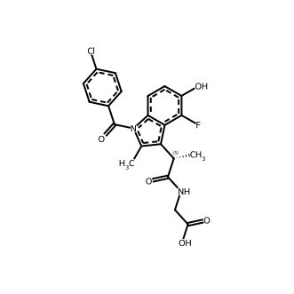 Cc1c([C@H](C)C(=O)NCC(=O)O)c2c(F)c(O)ccc2n1C(=O)c1ccc(Cl)cc1